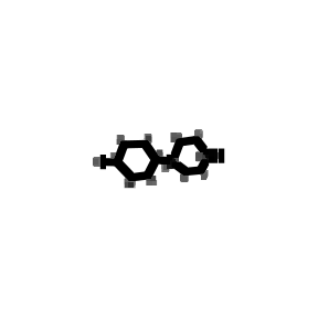 IC1CCC(N2CCNCC2)CC1